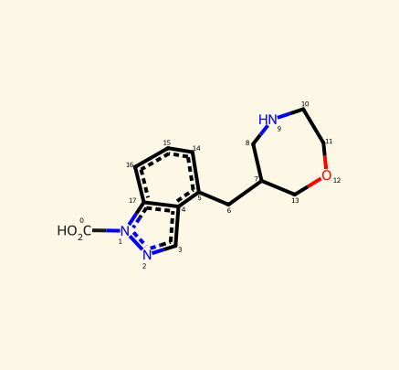 O=C(O)n1ncc2c(CC3CNCCOC3)cccc21